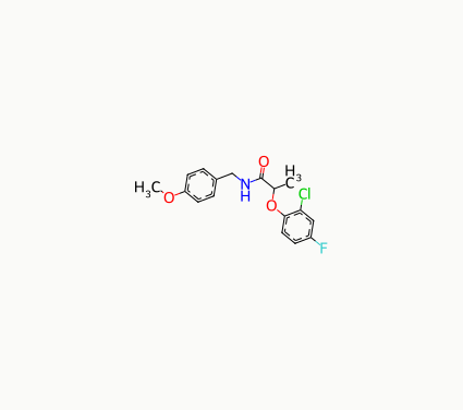 COc1ccc(CNC(=O)C(C)Oc2ccc(F)cc2Cl)cc1